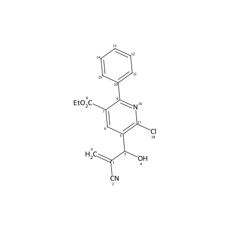 C=C(C#N)C(O)c1cc(C(=O)OCC)c(-c2ccccc2)nc1Cl